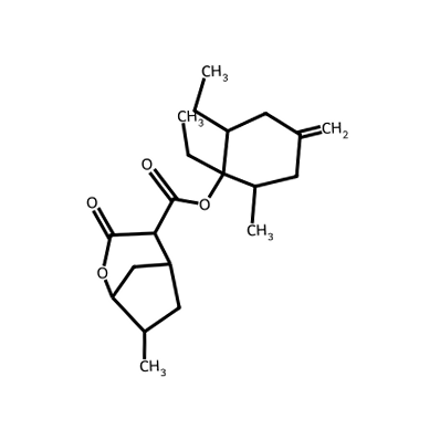 C=C1CC(C)C(CC)(OC(=O)C2C(=O)OC3CC2CC3C)C(CC)C1